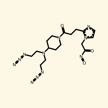 [N-]=[N+]=NCCN(CCN=[N+]=[N-])C1CCN(C(=O)CCc2nccn2CC(=O)N=O)CC1